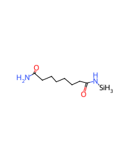 NC(=O)CCCCCCC(=O)N[SiH3]